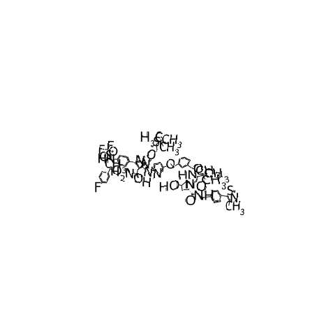 Cc1ncsc1-c1ccc(CNC(=O)[C@@H]2C[C@@H](O)CN2C(=O)[C@@H](NC(=O)c2cccc(COc3ccc(Nc4c(C(N)=O)c(-c5ccc(NS(=O)(=O)C(F)F)c(O[C@@H](C)c6ccc(F)cc6)c5)nn4COCC[Si](C)(C)C)nc3)c2)C(C)(C)C)cc1